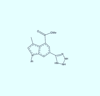 COC(=O)c1cc(C2=NNNN2)cc2c1c(C)cn2C(C)C